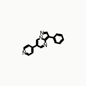 c1ccc(-c2cnn3cc(-c4ccncc4)cnc23)cc1